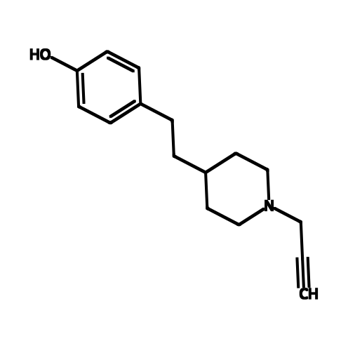 C#CCN1CCC(CCc2ccc(O)cc2)CC1